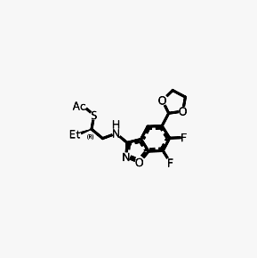 CC[C@H](CNc1noc2c(F)c(F)c(C3OCCO3)cc12)SC(C)=O